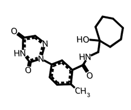 Cc1ccc(-n2ncc(=O)[nH]c2=O)cc1C(=O)NCC1(O)CCCCCC1